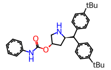 CC(C)(C)c1ccc(C(c2ccc(C(C)(C)C)cc2)[C@H]2C[C@@H](OC(=O)Nc3ccccc3)CN2)cc1